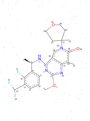 COc1nc(N[C@H](C)c2cccc(C(F)F)c2F)c2cn(C3(C)CCOCC3)c(=O)c(C)c2n1